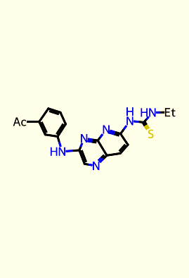 CCNC(=S)Nc1ccc2ncc(Nc3cccc(C(C)=O)c3)nc2n1